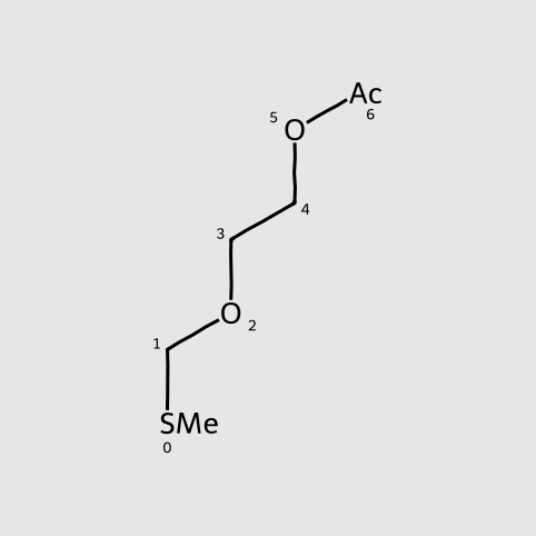 CSCOCCOC(C)=O